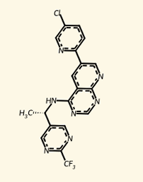 C[C@H](Nc1ncnc2ncc(-c3ccc(Cl)cn3)cc12)c1cnc(C(F)(F)F)nc1